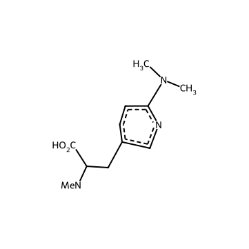 CNC(Cc1ccc(N(C)C)nc1)C(=O)O